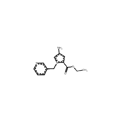 CCOC(=O)c1cc(N)cn1Cc1cccnc1